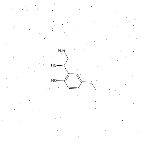 COc1ccc(O)c([C@@H](O)CN)c1